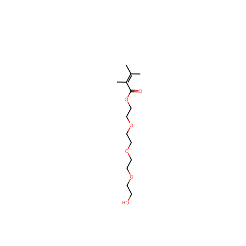 CC(C)=C(C)C(=O)OCCOCCOCCOCCO